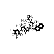 CC(C)OC(=O)[C@H](C)NP(=S)(OC[C@@]1(C(F)F)O[C@@H](n2cc(Cl)c(=O)[nH]c2=O)[C@H](O)[C@H]1O)Oc1ccc2ccccc2c1